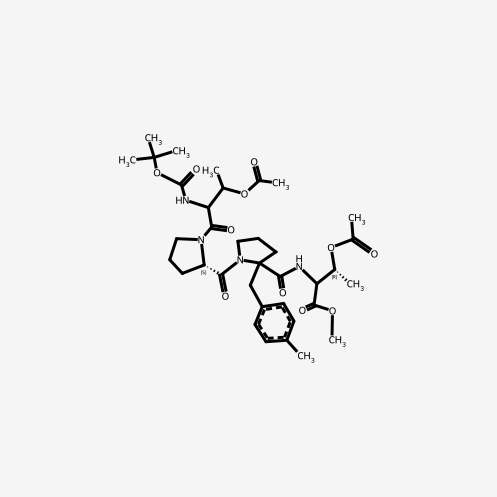 COC(=O)C(NC(=O)C1(Cc2ccc(C)cc2)CCCN1C(=O)[C@@H]1CCCN1C(=O)C(NC(=O)OC(C)(C)C)C(C)OC(C)=O)[C@@H](C)OC(C)=O